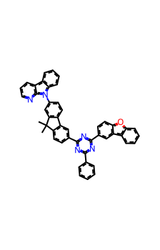 CC1(C)c2ccc(-c3nc(-c4ccccc4)nc(-c4ccc5oc6ccccc6c5c4)n3)cc2-c2ccc(-n3c4ccccc4c4cccnc43)cc21